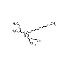 CCCCCCCCCCCCSP(=O)(SCC(CC)CCCC)SCC(CC)CCCC